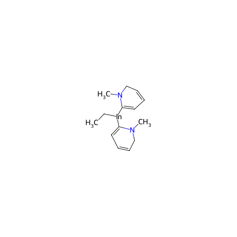 C[CH2][In]([C]1=CC=CCN1C)[C]1=CC=CCN1C